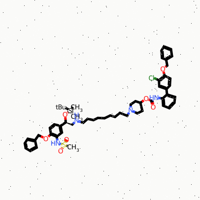 CC(C)(C)[Si](C)(C)O[C@@H](CNCCCCCCCCCN1CCC(OC(=O)Nc2ccccc2-c2ccc(OCc3ccccc3)c(Cl)c2)CC1)c1ccc(OCc2ccccc2)c(NS(C)(=O)=O)c1